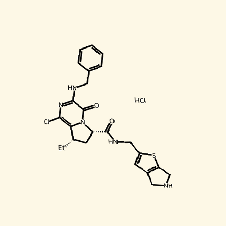 CC[C@H]1C[C@@H](C(=O)NCc2cc3c(s2)CNC3)n2c1c(Cl)nc(NCc1ccccc1)c2=O.Cl